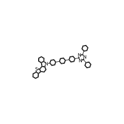 c1ccc(-c2nc(-c3ccccc3)nc(-c3ccc(-c4ccc(-c5ccc(-n6c7ccccc7c7c8sc9ccccc9c8ccc76)cc5)cc4)cc3)n2)cc1